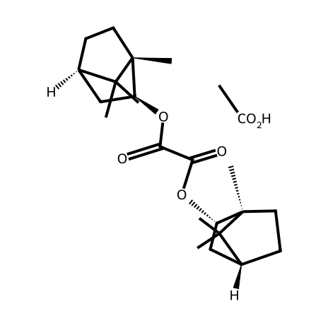 CC(=O)O.CC1(C)[C@@H]2CC[C@]1(C)[C@@H](OC(=O)C(=O)O[C@H]1C[C@H]3CC[C@@]1(C)C3(C)C)C2